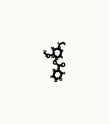 CCc1ccc(OC(=O)c2ccccc2)c(OC)c1